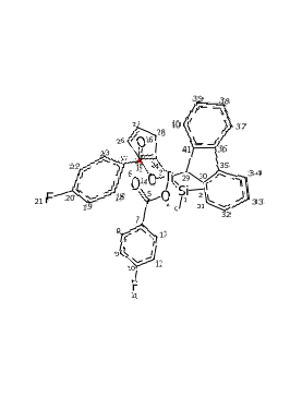 C[Si](C)=[Ti]([O]C(=O)c1ccc(F)cc1)([O]C(=O)c1ccc(F)cc1)([C]1=CC=CC1)[CH]1c2ccccc2-c2ccccc21